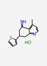 Cc1ccnc2c1C(=N)CC(c1cccs1)C2.Cl